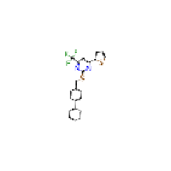 FC(F)(F)c1cc(-c2cccs2)nc(SCc2ccc(-c3ccccc3)cc2)n1